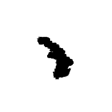 COc1cc(C(=O)N2CC3CCC2C3N)cc2nc(-c3cc4ccc(-c5ccc(OCc6ncco6)cc5)nc4n3CC3CC3)n(C)c12